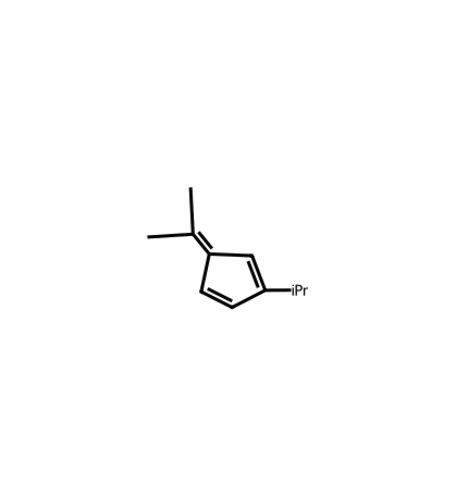 CC(C)=C1C=CC(C(C)C)=C1